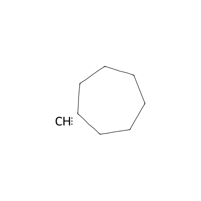 C1CCCCCC1.[CH]